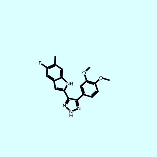 COc1ccc(-c2n[nH]nc2-c2cc3cc(F)c(C)cc3[nH]2)cc1OC